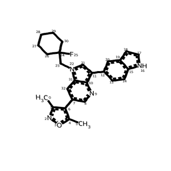 Cc1noc(C)c1-c1cnc2c(-c3ccc4[nH]ccc4c3)cn(CC3(F)CCCCC3)c2c1